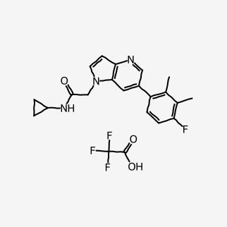 Cc1c(F)ccc(-c2cnc3ccn(CC(=O)NC4CC4)c3c2)c1C.O=C(O)C(F)(F)F